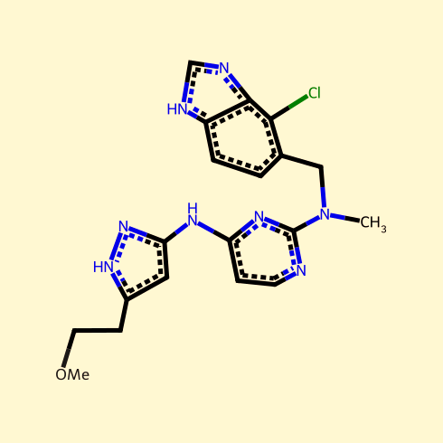 COCCc1cc(Nc2ccnc(N(C)Cc3ccc4[nH]cnc4c3Cl)n2)n[nH]1